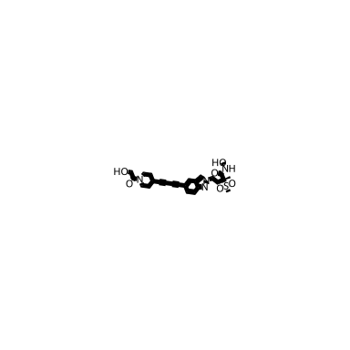 C[C@@](CCn1cc2cc(C#CC#CC3CCN(C(=O)CO)CC3)ccc2n1)(C(=O)NO)S(C)(=O)=O